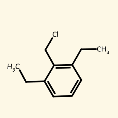 CCc1cccc(CC)c1CCl